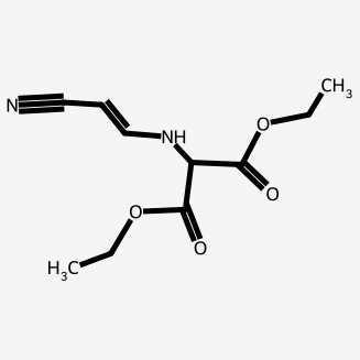 CCOC(=O)C(NC=CC#N)C(=O)OCC